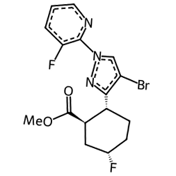 COC(=O)[C@@H]1C[C@@H](F)CC[C@H]1c1nn(-c2ncccc2F)cc1Br